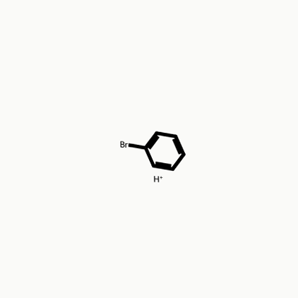 Brc1ccccc1.[H+]